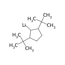 [Li][CH]1C(C(C)(C)C)CCC1C(C)(C)C